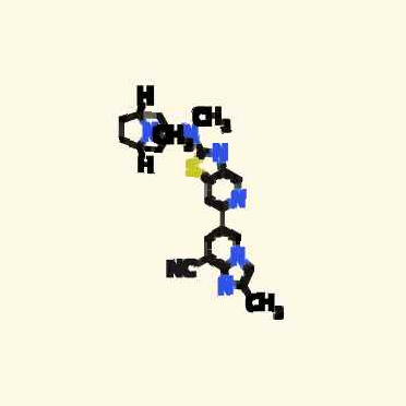 Cc1cn2cc(-c3cc4sc(N(C)[C@@H]5C[C@H]6CC[C@@H](C5)N6C)nc4cn3)cc(C#N)c2n1